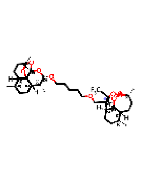 CC(C)[C@@]12OO[C@@]3(C)CC[C@H]1[C@H](C)CC[C@H]2/C(COCCCCCO[C@H]1O[C@@H]2O[C@]4(C)CC[C@H]5[C@H](C)CC[C@@H]([C@H]1C)C25O4)=C(/C(F)(F)F)OO3